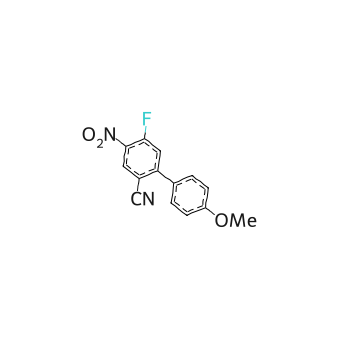 COc1ccc(-c2cc(F)c([N+](=O)[O-])cc2C#N)cc1